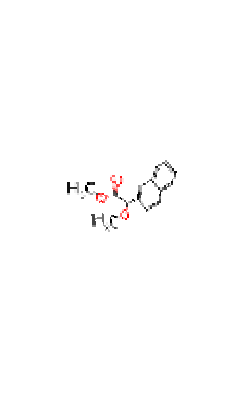 COC(=O)C(OC)c1ccc2ccccc2c1